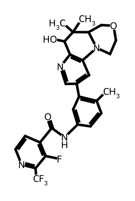 Cc1ccc(NC(=O)c2ccnc(C(F)(F)F)c2F)cc1-c1cnc2c(c1)N1CCOCC1C(C)(C)C2O